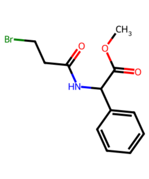 COC(=O)C(NC(=O)CCBr)c1ccccc1